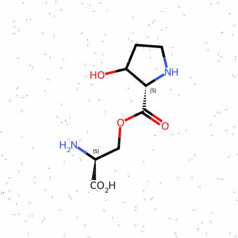 N[C@@H](COC(=O)[C@H]1NCCC1O)C(=O)O